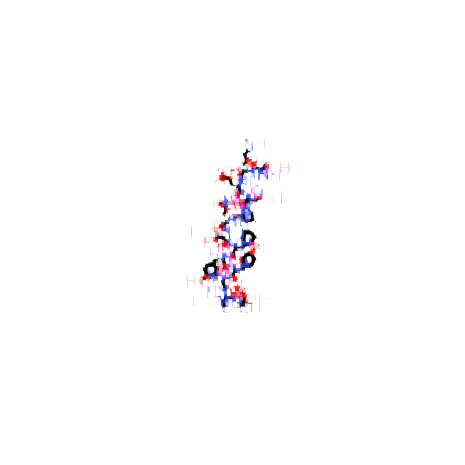 CC(C)[C@H](NC(=O)[C@H](C)NC(=O)[C@H](Cc1ccc(O)cc1)NC(=O)[C@H](Cc1ccc(O)cc1)NC(=O)[C@H](Cc1ccccc1)NC(=O)[C@@H](NC(=O)[C@H](CCC(N)=O)NC(=O)[C@@H]1CCCN1C(=O)[C@H](CC(=O)O)NC(=O)[C@H](CCC(=O)O)NC(=O)[C@H](CCCCN)NC(=O)[C@@H](N)CO)[C@@H](C)O)C(=O)N[C@@H](C)C(=O)O